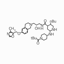 CCCCC1CNC(NC2CCN(C(=O)C(C)(C)C)CC2)CC1C(=O)NC[C@H](O)CN1CCc2cc(OCc3ocnc3C)ccc2C1